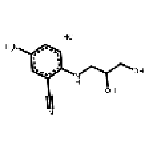 Cl.N#Cc1cc(N)ccc1NCC(O)CO